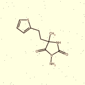 CC1(CCc2cccs2)NC(=O)N(N)C1=O